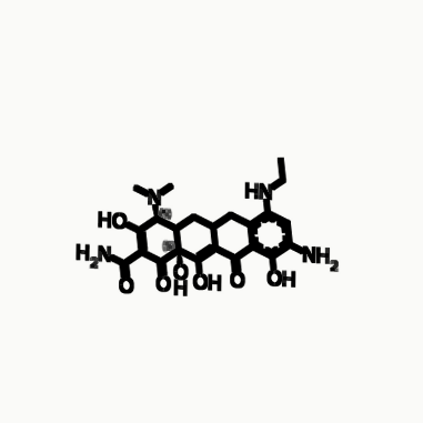 CCNc1cc(N)c(O)c2c1CC1CC3[C@H](N(C)C)C(O)=C(C(N)=O)C(=O)[C@@]3(O)C(O)=C1C2=O